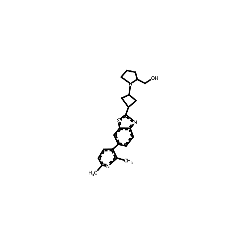 Cc1ccc(-c2ccc3nc(C4CC(N5CCCC5CO)C4)sc3c2)c(C)n1